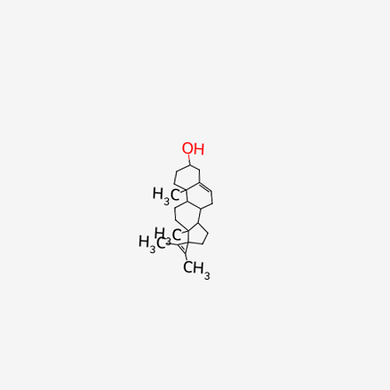 CC1=C(C)C12CCC1C3CC=C4CC(O)CCC4(C)C3CCC12C